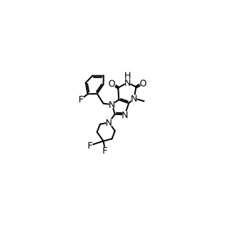 Cn1c(=O)[nH]c(=O)c2c1nc(N1CCC(F)(F)CC1)n2Cc1ccccc1F